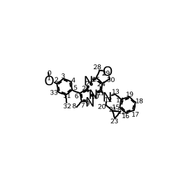 COc1ccc(-c2c(C)nn3c(N(Cc4ccccc4)CC4CC4)c4c(nc23)COC4)c(C)c1